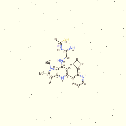 CCc1c(C)c2nc(-c3cccnc3C3CCC3)cc(NCC(=N)/N=C(/C)S)c2n1C(C)CC